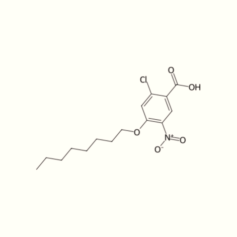 CCCCCCCCOc1cc(Cl)c(C(=O)O)cc1[N+](=O)[O-]